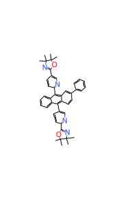 CC1(C)N=C(c2ccc(-c3c4ccccc4c(-c4ccc(C5=NC(C)(C)C(C)(C)O5)nc4)c4ccc(-c5ccccc5)cc34)nc2)OC1(C)C